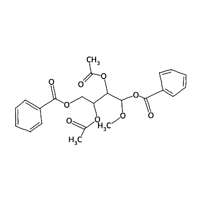 COC(OC(=O)c1ccccc1)C(OC(C)=O)C(COC(=O)c1ccccc1)OC(C)=O